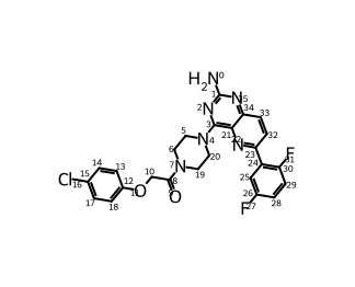 Nc1nc(N2CCN(C(=O)COc3ccc(Cl)cc3)CC2)c2nc(-c3cc(F)ccc3F)ccc2n1